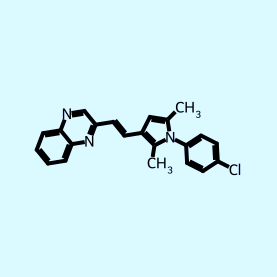 Cc1cc(C=Cc2cnc3ccccc3n2)c(C)n1-c1ccc(Cl)cc1